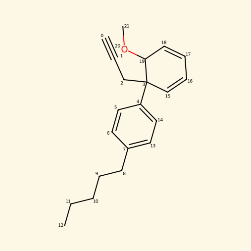 C#CCC1(c2ccc(CCCCC)cc2)C=CC=CC1OC